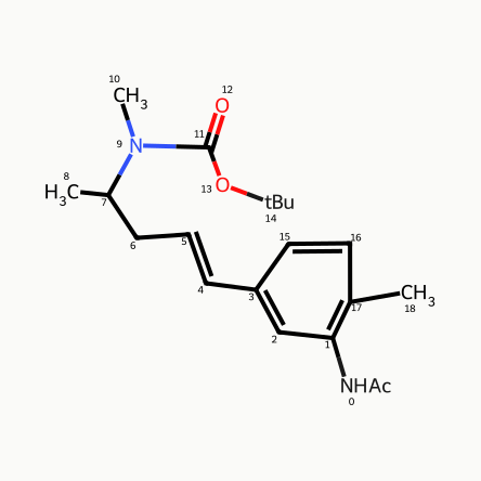 CC(=O)Nc1cc(C=CCC(C)N(C)C(=O)OC(C)(C)C)ccc1C